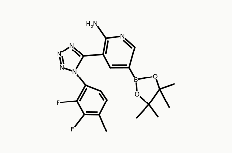 Cc1ccc(-n2nnnc2-c2cc(B3OC(C)(C)C(C)(C)O3)cnc2N)c(F)c1F